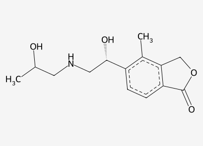 Cc1c([C@@H](O)CNCC(C)O)ccc2c1COC2=O